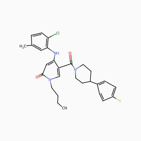 Cc1ccc(Cl)c(Nc2cc(=O)n(CCCC#N)cc2C(=O)N2CCC(c3ccc(F)cc3)CC2)c1